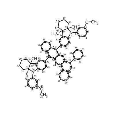 COc1cccc(N2c3ccc(-c4c5ccccc5c(-c5ccc6c(c5)C5(C)CCCCC5(C)N6c5cccc(OC)c5)c5cc6c(cc45)c(-c4ccccc4)cc4ccccc46)cc3C3(C)CCCCC23C)c1